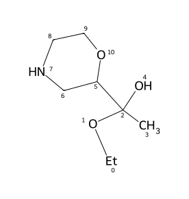 CCOC(C)(O)C1CNCCO1